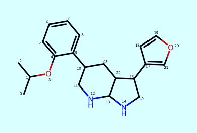 CC(C)Oc1ccccc1C1CNC2NCC(c3ccoc3)C2C1